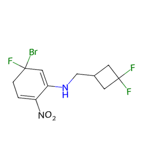 O=[N+]([O-])C1=CCC(F)(Br)C=C1NCC1CC(F)(F)C1